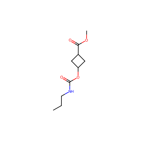 CCCNC(=O)OC1CC(C(=O)OC)C1